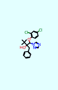 CC(C)(C)C(O)(Cc1ccccc1)C(Oc1ccc(Cl)cc1Cl)n1cncn1